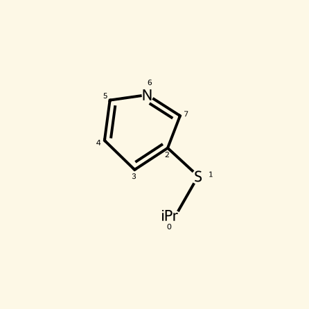 CC(C)Sc1cccnc1